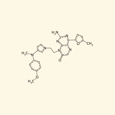 COc1ccc(N(C)c2ccn(CCn3c(=O)cnc4c(-c5ccc(C)o5)nc(N)nc43)c2)cc1